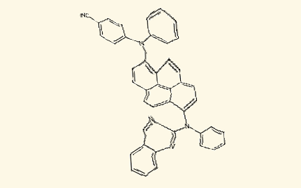 N#Cc1ccc(N(c2ccccc2)c2ccc3ccc4c(N(c5ccccc5)c5ncc6ccccc6n5)ccc5ccc2c3c54)cc1